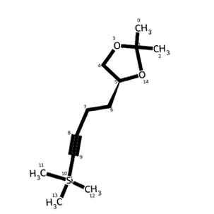 CC1(C)OC[C@H](CCC#C[Si](C)(C)C)O1